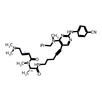 CC(C)CN(C)c1nc(Nc2ccc(C#N)cc2)ncc1C#CCCCNC(=O)[C@H](C)N(C)C(=O)/C=C/CN(C)C